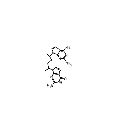 CC(CCC(C)n1cnc2c(N)nc(N)nc21)C1C=Nc2c1nc(N)[nH]c2=O